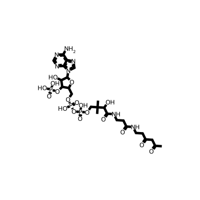 CC(=O)CC(=O)CCNC(=O)CCNC(=O)C(O)C(C)(C)COP(=O)(O)OP(=O)(O)OCC1OC(n2cnc3c(N)ncnc32)C(O)C1OP(=O)(O)O